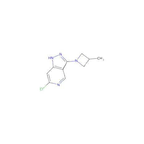 CC1CN(c2n[nH]c3cc(Cl)ncc23)C1